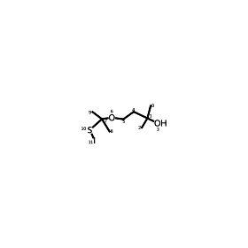 CC(C)(O)CCOC(C)(C)SI